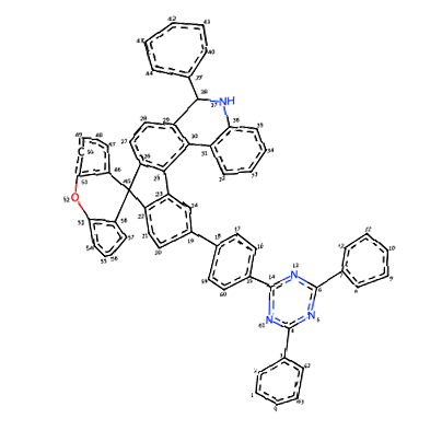 c1ccc(-c2nc(-c3ccccc3)nc(-c3ccc(-c4ccc5c(c4)-c4c(ccc6c4-c4ccccc4NC6c4ccccc4)C54c5ccccc5Oc5ccccc54)cc3)n2)cc1